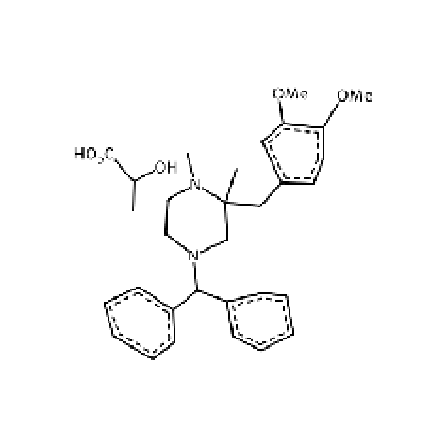 CC(O)C(=O)O.COc1ccc(CC2(C)CN(C(c3ccccc3)c3ccccc3)CCN2C)cc1OC